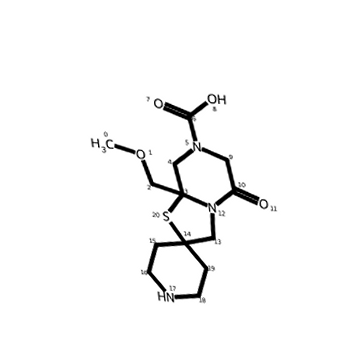 COCC12CN(C(=O)O)CC(=O)N1CC1(CCNCC1)S2